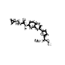 CCOC(OC)c1ccc(-c2cnc3ccc(NC(=O)NCC4CC4)nc3n2)o1